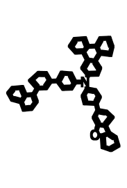 c1cc(-c2ccc(N(c3ccc(-c4ccc5c(c4)oc4ccccc45)cc3)c3ccc4c5ccccc5c5ccccc5c4c3)cc2)cc(-c2cccc3ccccc23)c1